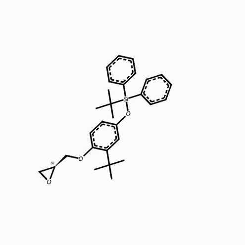 CC(C)(C)c1cc(O[Si](c2ccccc2)(c2ccccc2)C(C)(C)C)[c]cc1OC[C@@H]1CO1